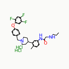 CCCNCC(=O)Nc1ccc(C)c(C2CCN(Cc3ccc(Oc4cc(F)c(F)cc4F)cc3)CC2)c1.Cl.Cl